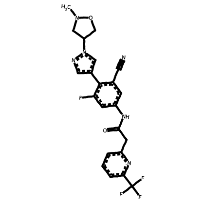 CN1CC(n2cc(-c3c(F)cc(NC(=O)Cc4cccc(C(F)(F)F)n4)cc3C#N)cn2)CO1